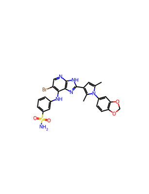 Cc1cc(-c2nc3c(Nc4cccc(S(N)(=O)=O)c4)c(Br)cnc3[nH]2)c(C)n1-c1ccc2c(c1)OCO2